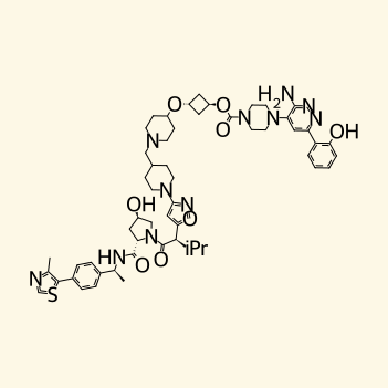 Cc1ncsc1-c1ccc([C@H](C)NC(=O)[C@@H]2C[C@@H](O)CN2C(=O)[C@@H](c2cc(N3CCC(CN4CCC(O[C@H]5C[C@H](OC(=O)N6CCN(c7cc(-c8ccccc8O)nnc7N)CC6)C5)CC4)CC3)no2)C(C)C)cc1